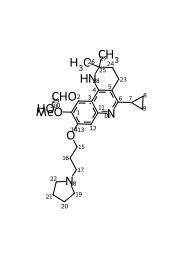 COc1cc2c3c(c(C4CC4)nc2cc1OCCCN1CCCC1)CCC(C)(C)N3.O=CO